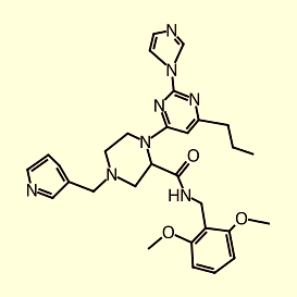 CCCc1cc(N2CCN(Cc3cccnc3)CC2C(=O)NCc2c(OC)cccc2OC)nc(-n2ccnc2)n1